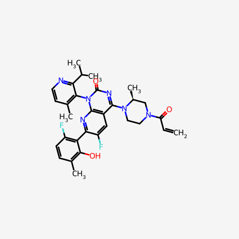 C=CC(=O)N1CCN(c2nc(=O)n(-c3c(C)ccnc3C(C)C)c3nc(-c4c(F)ccc(C)c4O)c(F)cc23)[C@@H](C)C1